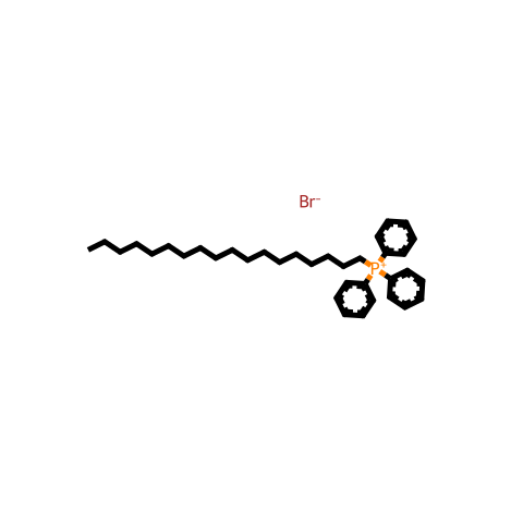 CCCCCCCCCCCCCCCCCC[P+](c1ccccc1)(c1ccccc1)c1ccccc1.[Br-]